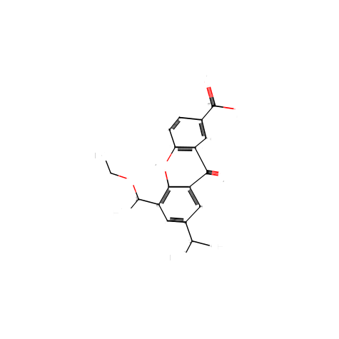 CCOC(C)c1cc(C(C)C)cc2c(=O)c3cc(C(=O)O)ccc3oc12